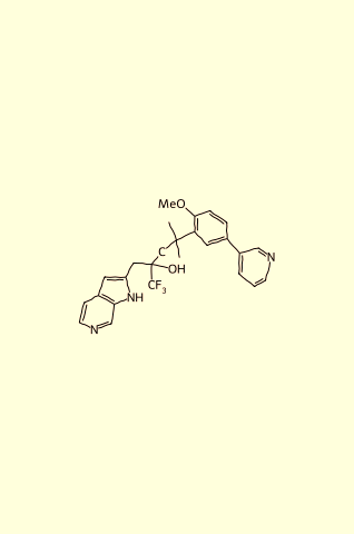 COc1ccc(-c2cccnc2)cc1C(C)(C)CC(O)(Cc1cc2ccncc2[nH]1)C(F)(F)F